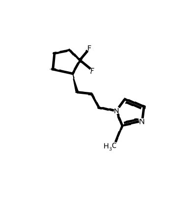 Cc1nccn1CCC[C@H]1[CH]CCC1(F)F